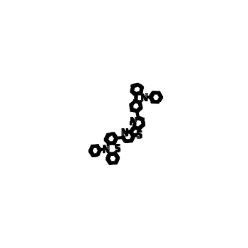 c1ccc(N2c3ccccc3Sc3c(-c4ccc5sc6ccc(-c7ccc8c9ccccc9n(-c9ccccc9)c8c7)nc6c5n4)cccc32)cc1